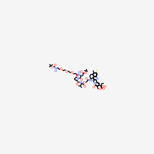 CC[C@@]1(O)C(=O)OCc2c1cc1n(c2=O)Cc2c-1nc1cc(F)c(C)c3c1c2[C@@H](NC(=O)COC(=O)[C@@H](NC(=O)[C@@H]1CCCN1C(=O)[C@H](CC(=O)OC(C)(C)C)NC(=O)CCOCCOCCOCCNC(=O)OC(C)(C)C)C(C)C)CC3